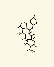 CC1CCC(CC2C3CCCC(C)C3C(O)C3C(C)C4(C)C(O)C(C(C)O)C(C)CC4(C)C(C)C23C)CC1